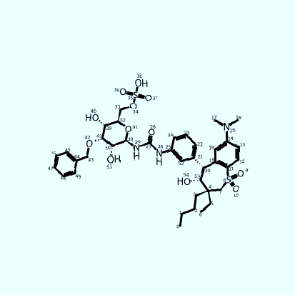 CCCC[C@]1(CC)CS(=O)(=O)c2ccc(N(C)C)cc2[C@@H](c2cccc(NC(=O)N[C@@H]3O[C@H](COS(=O)(=O)O)[C@@H](O)[C@@H](OCc4ccccc4)[C@H]3O)c2)[C@H]1O